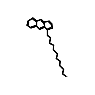 [CH2]CCCCCCCCCCCc1cccc2cc3ccccc3cc12